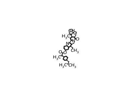 CCc1c2c(nc3ccc(OC(=O)[C@@H](C)c4ccc(CC(C)C)cc4)cc13)-c1cc3c(c(=O)n1C2)COC(=O)[C@]3(C)CC